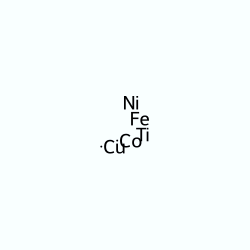 [Co].[Cu].[Fe].[Ni].[Ti]